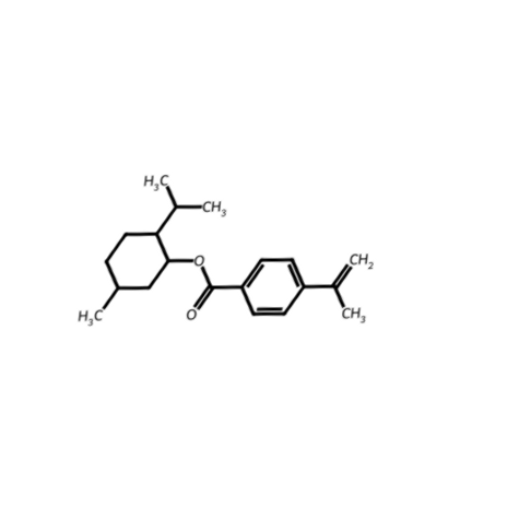 C=C(C)c1ccc(C(=O)OC2CC(C)CCC2C(C)C)cc1